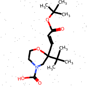 CC(C)(C)OC(=O)C=CC1(C(C)(C)C)CN(C(=O)O)CCO1